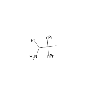 CCCC(C)(CCC)C(N)CC